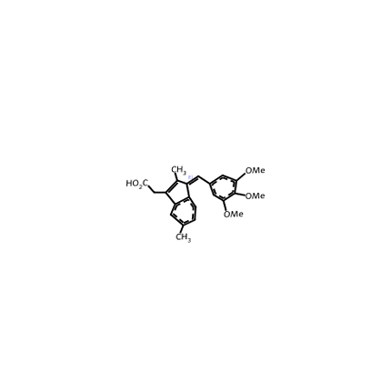 COc1cc(/C=C2/C(C)=C(CC(=O)O)c3cc(C)ccc32)cc(OC)c1OC